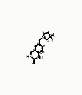 C=C1NCc2cc(CN3CCC(F)(F)C3)ccc2N1